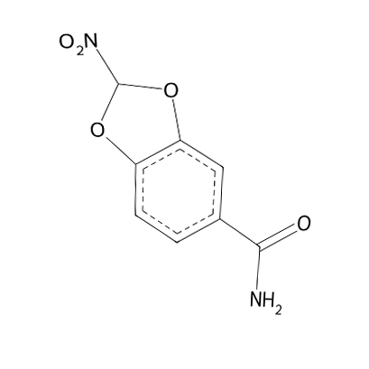 NC(=O)c1ccc2c(c1)OC([N+](=O)[O-])O2